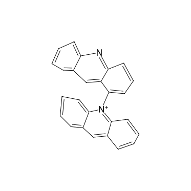 c1ccc2nc3cccc(-[n+]4c5ccccc5cc5ccccc54)c3cc2c1